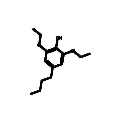 CCCCc1cc(OCC)c(O)c(OCC)c1